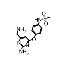 CS(=O)(=O)Nc1ccc(Oc2cc(CN)nc(N)n2)cc1